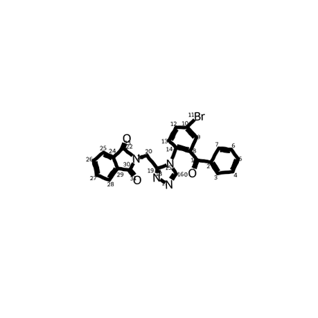 O=C(c1ccccc1)c1cc(Br)ccc1-n1cnnc1CN1C(=O)c2ccccc2C1=O